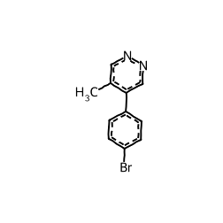 Cc1cnncc1-c1ccc(Br)cc1